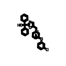 OC(c1ccccc1)(c1ccccc1)c1ncc(C[N+]23CCC(CC2)C(Oc2cccc(Cl)c2)C3)o1